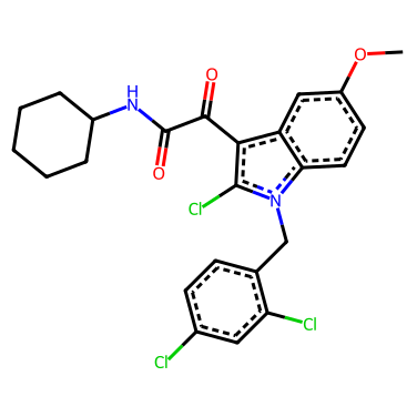 COc1ccc2c(c1)c(C(=O)C(=O)NC1CCCCC1)c(Cl)n2Cc1ccc(Cl)cc1Cl